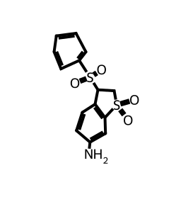 Nc1ccc2c(c1)S(=O)(=O)CC2S(=O)(=O)c1ccccc1